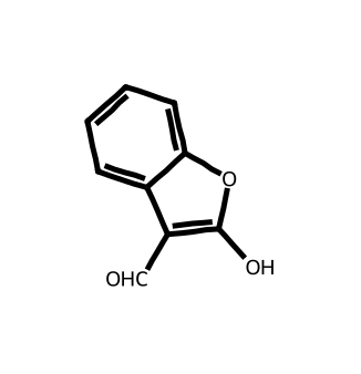 O=Cc1c(O)oc2ccccc12